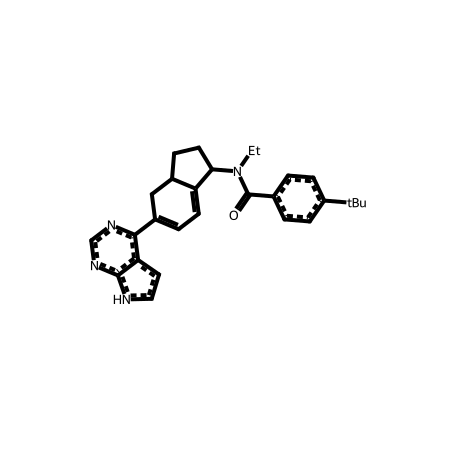 CCN(C(=O)c1ccc(C(C)(C)C)cc1)C1CCC2CC(c3ncnc4[nH]ccc34)=CC=C21